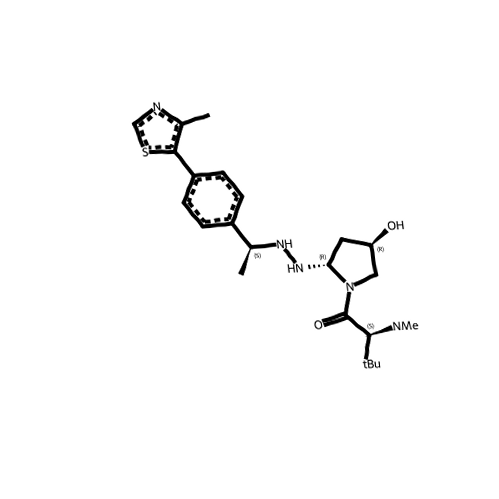 CN[C@H](C(=O)N1C[C@H](O)C[C@H]1NN[C@@H](C)c1ccc(-c2scnc2C)cc1)C(C)(C)C